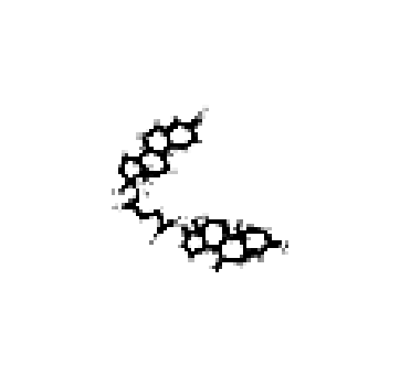 CCC1(OC(=O)CCC(=O)OC2CCC3C4C(C)CC5=CC(=O)CCC5(C)C4CCC23C)CCC2C3CCC4=CC(=O)CCC4C3CCC21CC